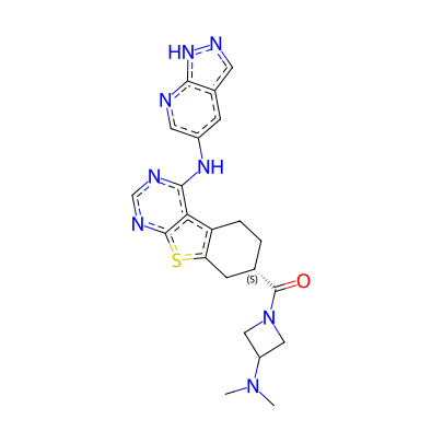 CN(C)C1CN(C(=O)[C@H]2CCc3c(sc4ncnc(Nc5cnc6[nH]ncc6c5)c34)C2)C1